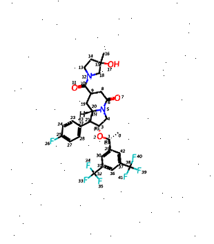 C[C@@H](O[C@H]1CN2C(=O)CC(C(=O)N3CCC(C)(O)C3)C[C@H]2C1c1ccc(F)cc1)c1cc(C(F)(F)F)cc(C(F)(F)F)c1